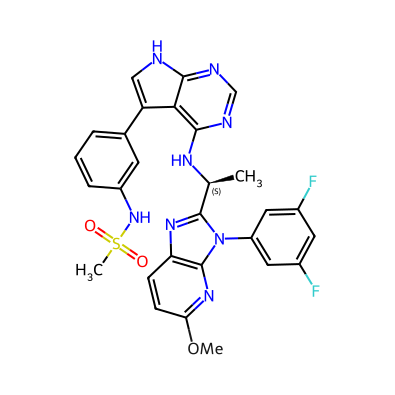 COc1ccc2nc([C@H](C)Nc3ncnc4[nH]cc(-c5cccc(NS(C)(=O)=O)c5)c34)n(-c3cc(F)cc(F)c3)c2n1